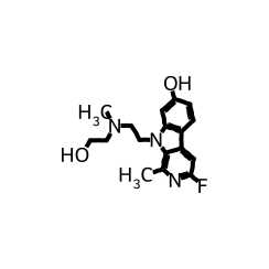 Cc1nc(F)cc2c3ccc(O)cc3n(CCN(C)CCO)c12